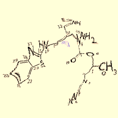 CC(CN=[N+]=[N-])OC(=O)N(N)/C(C=N)=C/Nc1nc2ccccc2s1